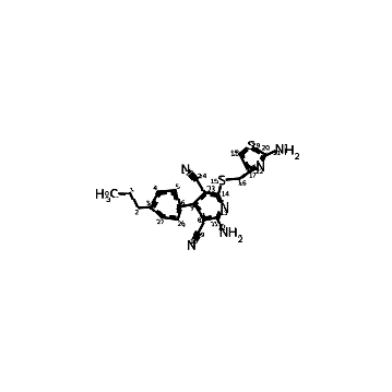 CCCc1ccc(-c2c(C#N)c(N)nc(SCc3csc(N)n3)c2C#N)cc1